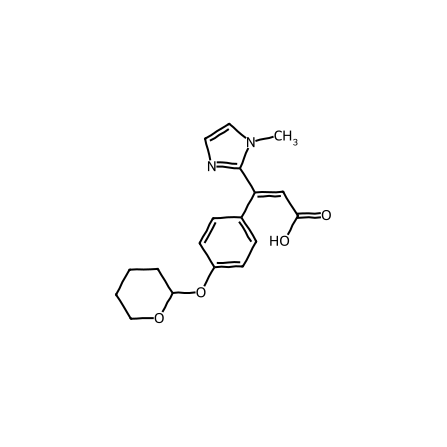 Cn1ccnc1C(=CC(=O)O)c1ccc(OC2CCCCO2)cc1